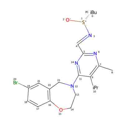 CC[C@@H](C)[S+]([O-])N=Cc1nc(C)c(C(C)C)c(N2CCOc3ccc(Br)cc3C2)n1